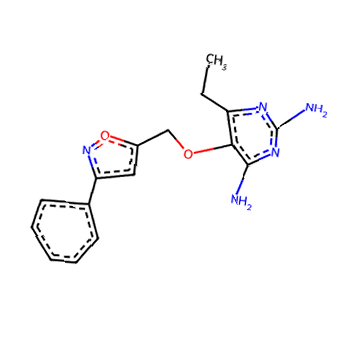 CCc1nc(N)nc(N)c1OCc1cc(-c2ccccc2)no1